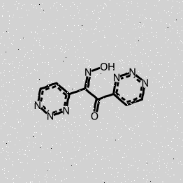 O=C(C(=NO)c1ccnnn1)c1ccnnn1